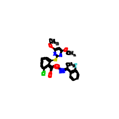 COc1cc(OC)nc(Sc2cccc(Cl)c2C(=O)O/N=C(\C)c2ccc#cc2F)n1